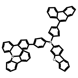 c1ccc(-n2c3ccccc3c3ccccc32)c(-c2ccc(-c3ccc(N(c4ccc(-c5cc6ccccc6c6ccccc56)cc4)c4ccc5c(c4)oc4ccccc45)cc3)cc2)c1